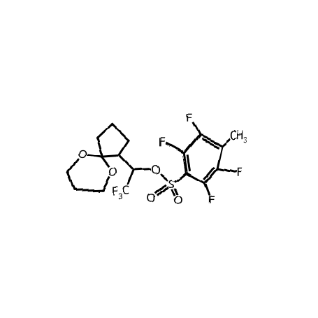 Cc1c(F)c(F)c(S(=O)(=O)OC(C2CCCC23OCCCO3)C(F)(F)F)c(F)c1F